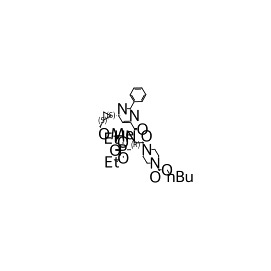 CCCCOC(=O)N1CCN(C(=O)[C@H](CP(=O)(OCC)OCC)NC(=O)c2cc([C@H]3C[C@@H]3COC)nc(-c3ccccc3)n2)CC1